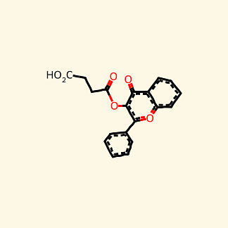 O=C(O)CCC(=O)Oc1c(-c2ccccc2)oc2ccccc2c1=O